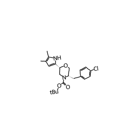 Cc1cc([C@H]2CN(C(=O)OC(C)(C)C)[C@@H](Cc3ccc(Cl)cc3)CO2)[nH]c1C